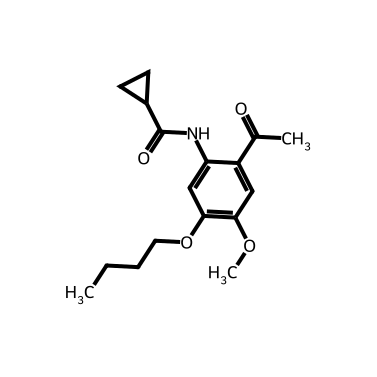 CCCCOc1cc(NC(=O)C2CC2)c(C(C)=O)cc1OC